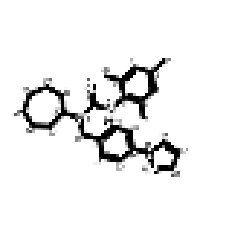 Cc1cc(C)c(NC(=O)N(Cc2ccc(-n3cccn3)cc2)C2CCCCCC2)c(C)c1